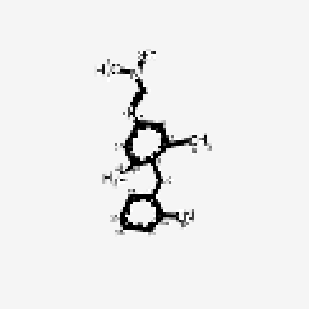 CCN(C)C=Nc1cc(C)c(Cc2ccccc2C#N)c(C)c1